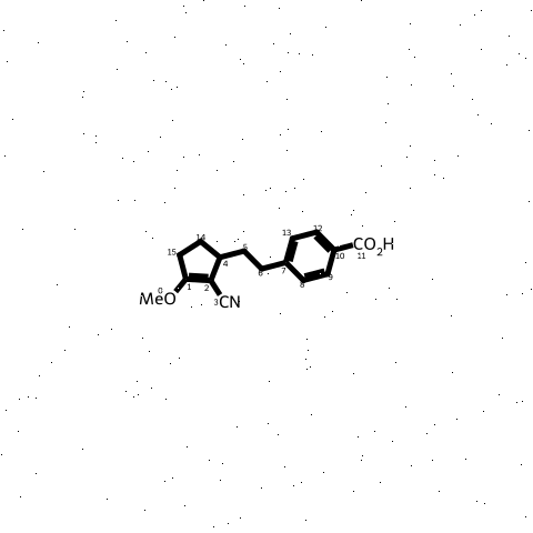 COC1=C(C#N)C(CCc2ccc(C(=O)O)cc2)CC1